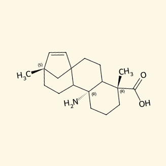 C[C@]12C=CC3(CCC4[C@@](N)(CCC[C@@]4(C)C(=O)O)C3CC1)C2